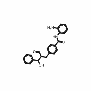 Nc1ccccc1NC(=O)c1ccc(CC(C=O)C(O)c2ccccc2)cc1